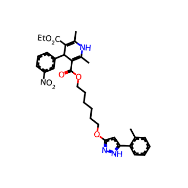 CCOC(=O)C1=C(C)NC(C)=C(C(=O)OCCCCCCOc2cc(-c3ccccc3C)[nH]n2)C1c1cccc([N+](=O)[O-])c1